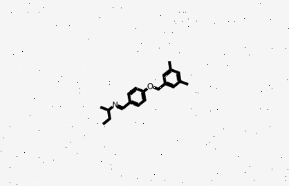 CCC(C)N=Cc1ccc(OCc2cc(C)cc(C)c2)cc1